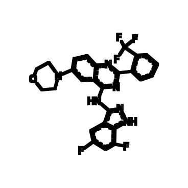 Fc1cc(F)c2[nH]nc(Nc3nc(-c4ccccc4C(F)(F)F)nc4ccc(N5CCOCC5)cc34)c2c1